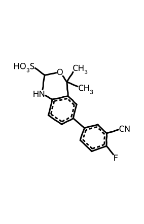 CC1(C)OC(S(=O)(=O)O)Nc2ccc(-c3ccc(F)c(C#N)c3)cc21